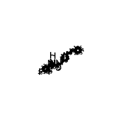 O=C(NCC1CCN(C/C=C/c2ccccc2)CC1)c1cc(-c2ccc(F)cc2F)n[nH]1